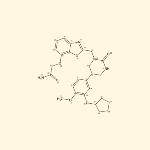 COc1ccc(C2CNC(=O)N(Cc3nc4cccc(OCC(N)=O)c4o3)C2)cc1OC1CCCC1